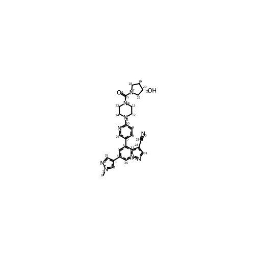 Cn1cc(-c2cc(-c3ccc(N4CCN(C(=O)N5CC[C@H](O)C5)CC4)nc3)c3c(C#N)cnn3c2)cn1